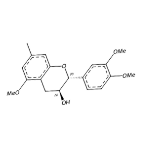 COc1ccc([C@H]2Oc3cc(C)cc(OC)c3C[C@@H]2O)cc1OC